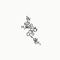 CC(NC(=O)c1nc(-c2cscn2)cnc1N)c1cc2cccc(C#Cc3cnn(C)c3)c2c(=O)n1-c1ccccc1